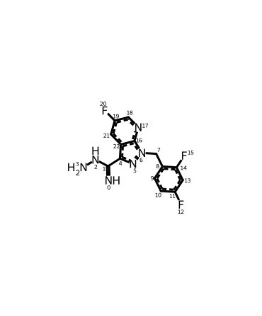 N=C(NN)c1nn(Cc2ccc(F)cc2F)c2ncc(F)cc12